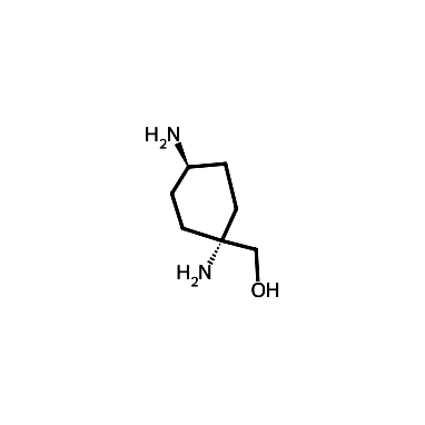 N[C@H]1CC[C@@](N)(CO)CC1